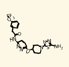 Nc1nnc(N2CCC(Oc3ccc(NC(=O)Cc4cccc(OC(F)(F)F)c4)nn3)CC2)s1